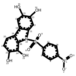 O=[N+]([O-])c1ccc(S(=O)(=O)n2c3cc(O)c(O)cc3c3ccc(O)c(O)c32)cc1